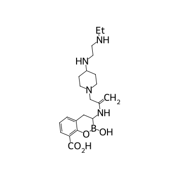 C=C(CN1CCC(NCCNCC)CC1)NC1Cc2cccc(C(=O)O)c2OB1O